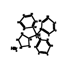 Br.c1ccc([PH](c2ccccc2)(c2ccccc2)C2CCCC2)cc1